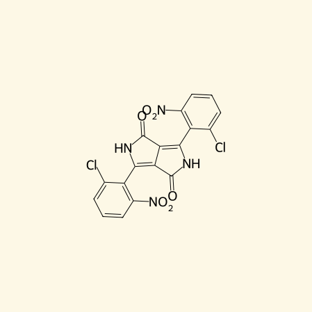 O=C1NC(c2c(Cl)cccc2[N+](=O)[O-])=C2C(=O)NC(c3c(Cl)cccc3[N+](=O)[O-])=C12